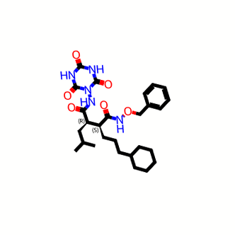 CC(C)C[C@@H](C(=O)Nn1c(=O)[nH]c(=O)[nH]c1=O)[C@H](CCCC1CCCCC1)C(=O)NOCc1ccccc1